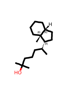 CC(CCCC(C)(C)O)[C@H]1CC[C@H]2CCCC[C@]21C